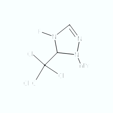 CCCN1N=CN(F)C1C(Cl)(Cl)C(Cl)(Cl)Cl